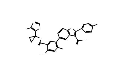 CNC(=O)c1c(-c2ccc(F)cc2)oc2ccc(-c3cc(C(=O)NC4(c5ocnc5C)CC4)c(OC)cc3C)cc12